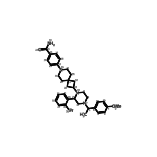 COc1ccc(C(C)N2CCN(C3CC4(CCN(c5ccc(C(N)=O)cc5)CC4)C3)C(c3ccccc3C(C)C)C2)cc1